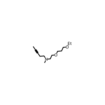 CC#CCCN(C)CCOCCCOCC